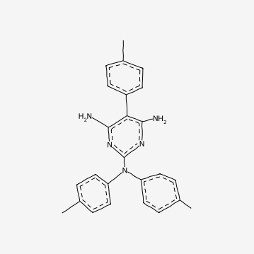 Cc1ccc(-c2c(N)nc(N(c3ccc(C)cc3)c3ccc(C)cc3)nc2N)cc1